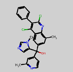 Cc1cc(C(O)(c2cc(C)c3nc(Cl)c(-c4ccccc4)c(Cl)c3c2)c2cncn2C)ccn1